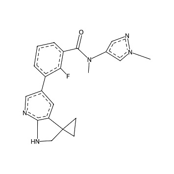 CN(C(=O)c1cccc(-c2cnc3c(c2)C2(CC2)CN3)c1F)c1cnn(C)c1